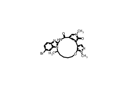 CC1CCCCOc2c(cnn2C)-c2cc(cn(C)c2=O)C(=O)Nc2nc3ccc(Br)cc3n21